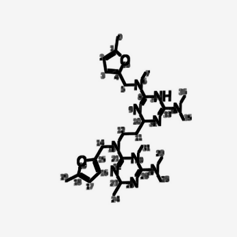 Cc1ccc(CN(C)C2=NC(CCN(Cc3ccc(C)o3)C3=NC(C)N=C(N(C)C)N3C)N=C(N(C)C)N2)o1